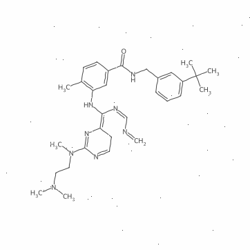 C=N/C=N\C(Nc1cc(C(=O)NCc2cccc(C(C)(C)C)c2)ccc1C)=C1/CC=NC(N(C)CCN(C)C)=N1